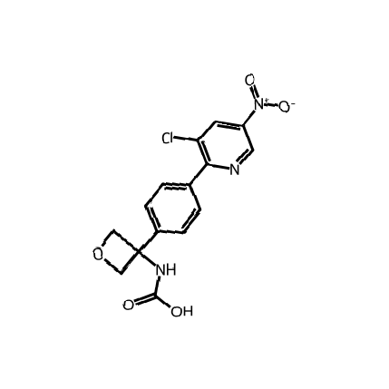 O=C(O)NC1(c2ccc(-c3ncc([N+](=O)[O-])cc3Cl)cc2)COC1